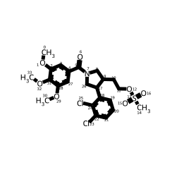 COc1cc(C(=O)N2CC(CCOS(C)(=O)=O)C(c3cccc(Cl)c3Cl)C2)cc(OC)c1OC